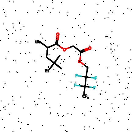 CCC(C)(C)CC(C(=O)OCC(=O)OCC(F)(F)C(F)(F)C(F)(F)F)C(C)(C)C